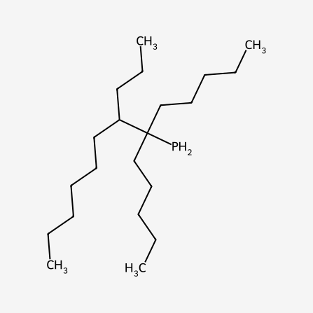 CCCCCCC(CCC)C(P)(CCCCC)CCCCC